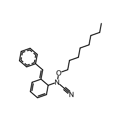 CCCCCCCCON(C#N)C1C=CC=CC1=Cc1ccccc1